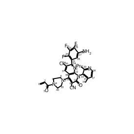 C=CC(=O)N1CCN(c2c(C#N)c(=O)n(-c3c(C)ccnc3C(C)C)c3nc(-c4cc(N)c(F)c(F)c4F)c(Cl)cc23)CC1